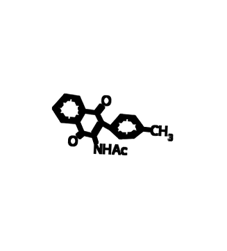 CC(=O)NC1=C(c2ccc(C)cc2)C(=O)c2ccccc2C1=O